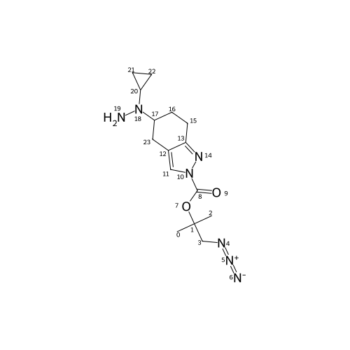 CC(C)(CN=[N+]=[N-])OC(=O)n1cc2c(n1)CCC(N(N)C1CC1)C2